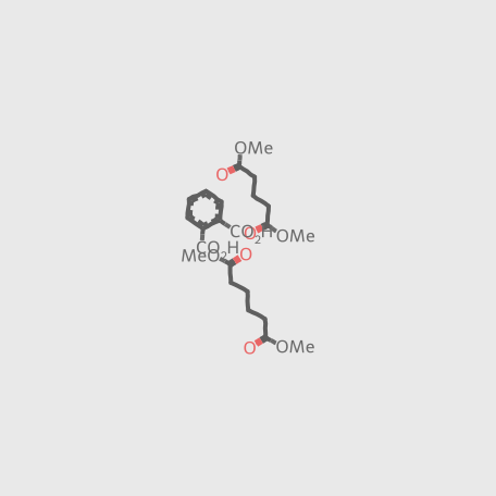 COC(=O)CCCC(=O)OC.COC(=O)CCCCC(=O)OC.O=C(O)c1ccccc1C(=O)O